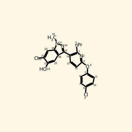 CCCc1nc(Oc2ccc(Cl)cc2)ccc1-c1nn(C)c2cc(Cl)c(O)cc12